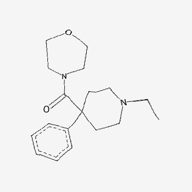 CCN1CCC(C(=O)N2CCOCC2)(c2ccccc2)CC1